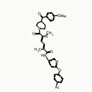 C=N/C(=C\C=C(/C)C(=O)Nc1ccc(Oc2ccc(C(C)=O)cc2)nc1)C(=O)N1CCC(C(=O)c2ccc(OC)cc2)CC1